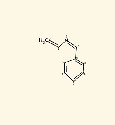 C=C/N=C\c1ccccc1